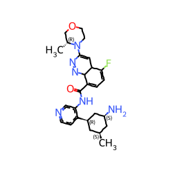 C[C@@H]1C[C@H](N)C[C@H](c2ccncc2NC(=O)C2=CC=C(F)C3C=C(N4CCOC[C@H]4C)N=NC23)C1